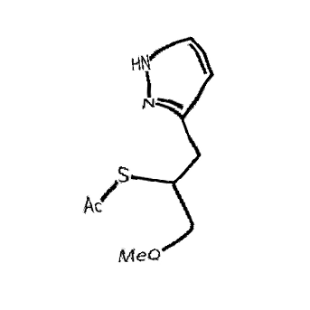 COCC(Cc1cc[nH]n1)SC(C)=O